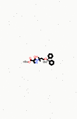 CCCCOC(=O)c1cnn(C(C)(C)CCO[Si](c2ccccc2)(c2ccccc2)C(C)(C)C)c1O